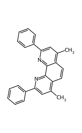 Cc1cc(-c2ccccc2)nc2c1ccc1c(C)cc(-c3ccccc3)nc12